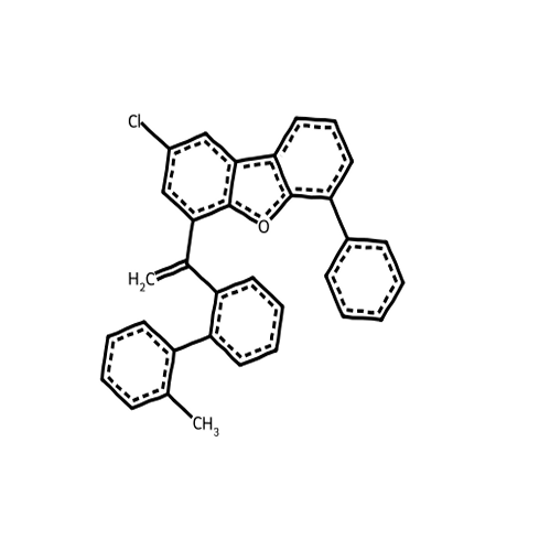 C=C(c1ccccc1-c1ccccc1C)c1cc(Cl)cc2c1oc1c(-c3ccccc3)cccc12